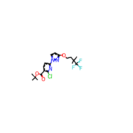 CC(C)(C)OC(=O)c1ccc(-n2ccc(OCCC(C)(C)C(F)(F)F)n2)nc1Cl